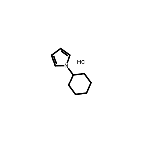 Cl.c1ccn(C2CCCCC2)c1